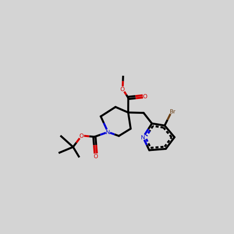 COC(=O)C1(Cc2ncccc2Br)CCN(C(=O)OC(C)(C)C)CC1